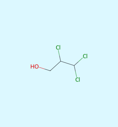 OCC(Cl)C(Cl)Cl